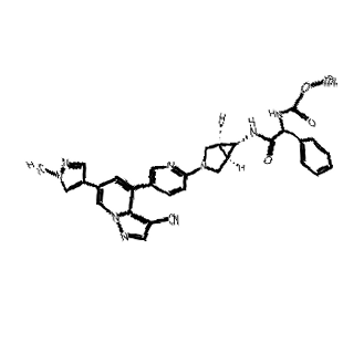 Cn1cc(-c2cc(-c3ccc(N4C[C@@H]5[C@H](C4)[C@H]5NC(=O)C(NC(=O)OC(C)(C)C)c4ccccc4)nc3)c3c(C#N)cnn3c2)cn1